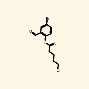 O=Cc1cc(Br)ccc1OC(=O)CCCCCl